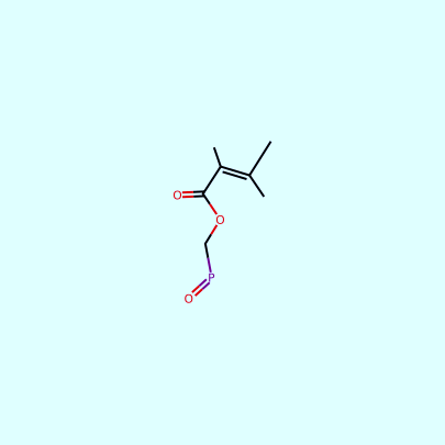 CC(C)=C(C)C(=O)OCP=O